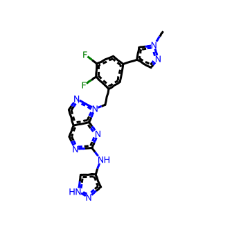 Cn1cc(-c2cc(F)c(F)c(Cn3ncc4cnc(Nc5cn[nH]c5)nc43)c2)cn1